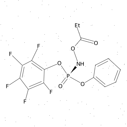 CCC(=O)ON[P@](=O)(Oc1ccccc1)Oc1c(F)c(F)c(F)c(F)c1F